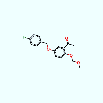 COCOc1ccc(OCc2ccc(F)cc2)cc1C(C)=O